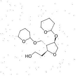 OCC[C@@H]1OC[C@H](OC2CCCCO2)[C@H]1COC1CCCCO1